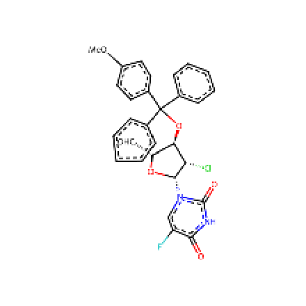 COc1ccc(C(O[C@H]2[C@H](Cl)[C@H](n3cc(F)c(=O)[nH]c3=O)O[C@@H]2C=O)(c2ccccc2)c2ccccc2)cc1